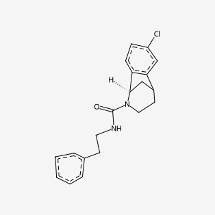 O=C(NCCc1ccccc1)N1CCC2C[C@@H]1c1ccc(Cl)cc12